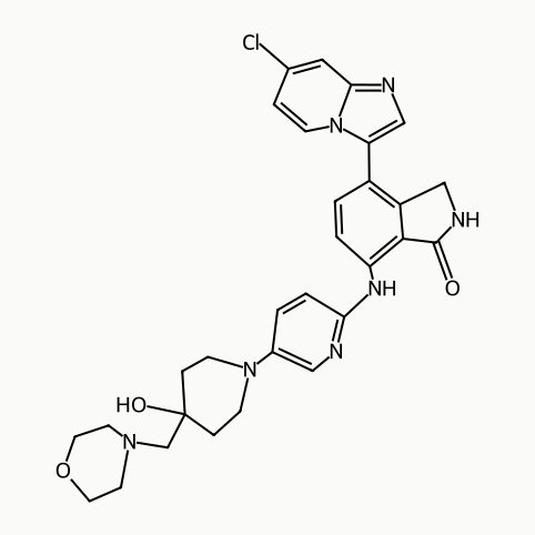 O=C1NCc2c(-c3cnc4cc(Cl)ccn34)ccc(Nc3ccc(N4CCC(O)(CN5CCOCC5)CC4)cn3)c21